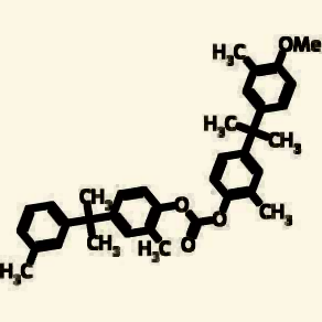 COc1ccc(C(C)(C)c2ccc(OC(=O)Oc3ccc(C(C)(C)c4cccc(C)c4)cc3C)c(C)c2)cc1C